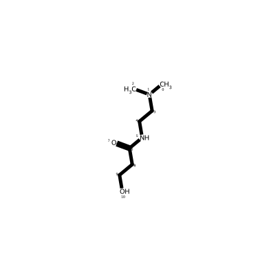 CN(C)CCNC(=O)CCO